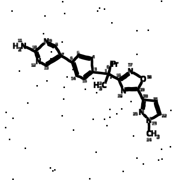 CC(C)C(C)(c1ccc(-c2cnc(N)nc2)cc1)c1noc(-c2ccn(C)n2)n1